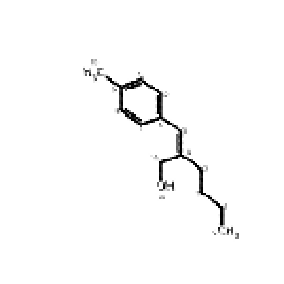 CCCCC(=Cc1ccc(C)cc1)CO